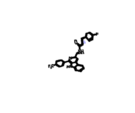 O=C(/C=C/c1ccc(F)cc1)NCc1cc2c([nH]c3ccccc32)c(-c2ccc(C(F)(F)F)cc2)n1